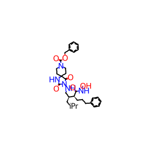 CC(C)C[C@@H](CNN1C(=O)NC2(CCN(C(=O)OCc3ccccc3)CC2)C1=O)[C@H](CCCc1ccccc1)C(=O)NO